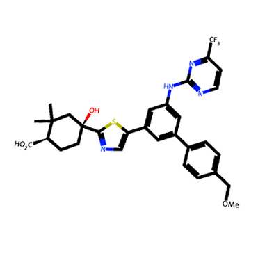 COCc1ccc(-c2cc(Nc3nccc(C(F)(F)F)n3)cc(-c3cnc([C@]4(O)CC[C@@H](C(=O)O)C(C)(C)C4)s3)c2)cc1